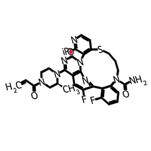 C=CC(=O)N1CCN(c2nc(=O)n3c4nc(c(F)cc24)-c2c(F)cccc2N(C(N)=O)CCCSc2ccnc(C(C)C)c2-3)[C@@H](C)C1